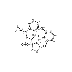 O=C[C@@]1(C2CN(C3CC3)c3ccccc3N2)CCCN1Cc1c(Cl)cccc1Cl